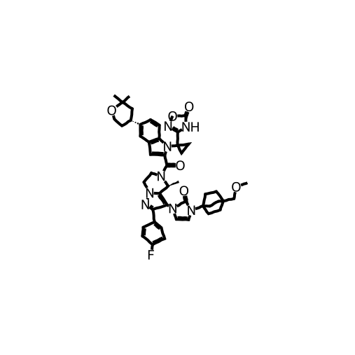 COCC12CCC(n3ccn(-c4c(-c5ccc(F)cc5)nn5c4[C@H](C)N(C(=O)c4cc6cc([C@@H]7CCOC(C)(C)C7)ccc6n4C4(c6noc(=O)[nH]6)CC4)CC5)c3=O)(CC1)CC2